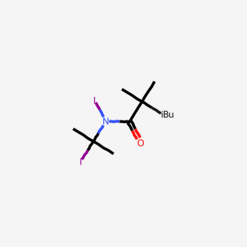 CCC(C)C(C)(C)C(=O)N(I)C(C)(C)I